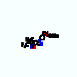 COCOC1(C)CCC(n2ncc3c2C[C@@H](C)c2c([C@H](C)C(F)(F)F)noc2-3)CC1